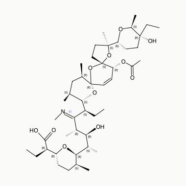 CC[C@@H](C(=O)O)[C@H]1CC[C@H](C)[C@H]([C@@H](C)[C@H](O)[C@H](C)/C(=N\C)[C@H](CC)[C@H]2O[C@]3(C=C[C@@H](OC(C)=O)[C@]4(CC[C@@](C)([C@H]5CC[C@](O)(CC)[C@H](C)O5)O4)O3)[C@H](C)C[C@@H]2C)O1